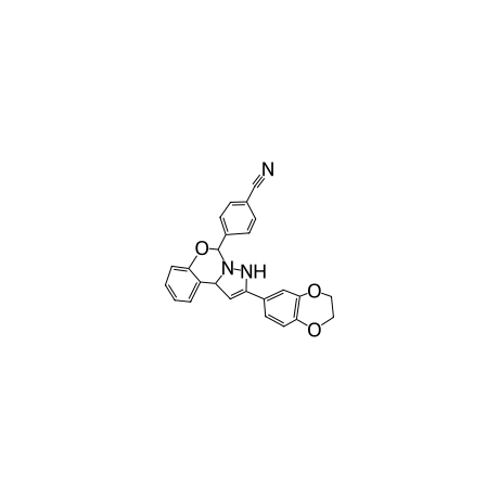 N#Cc1ccc(C2Oc3ccccc3C3C=C(c4ccc5c(c4)OCCO5)NN32)cc1